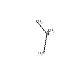 CCCCCCCCCCCCCCCn1cc[n+](CC)c1CCCCCCCCCCCC